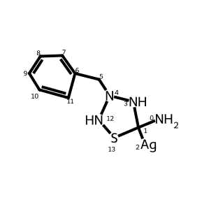 N[C]1([Ag])NN(Cc2ccccc2)NS1